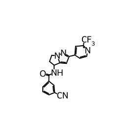 N#Cc1cccc(C(=O)NC2CCn3nc(-c4ccnc(C(F)(F)F)c4)cc32)c1